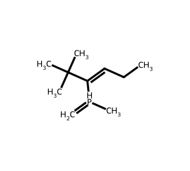 C=[PH](C)/C(=C\CC)C(C)(C)C